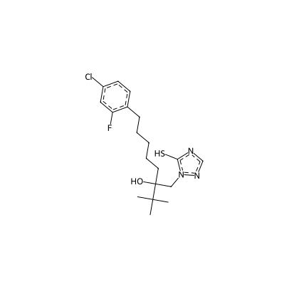 CC(C)(C)C(O)(CCCCCc1ccc(Cl)cc1F)Cn1ncnc1S